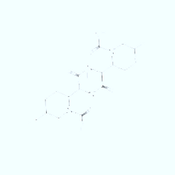 O=C1NC(C2CCC(Cl)CN2C(=O)C(F)(F)F)C(=O)NC1C1CCC(Cl)CN1C(=O)C(F)(F)F